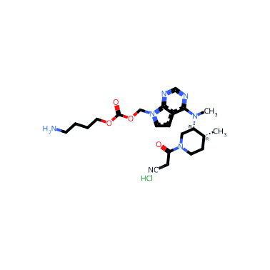 C[C@@H]1CCN(C(=O)CC#N)C[C@@H]1N(C)c1ncnc2c1ccn2COC(=O)OCCCCN.Cl